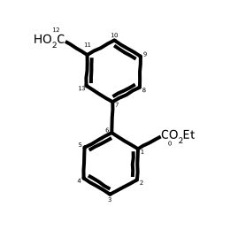 CCOC(=O)c1ccccc1-c1cccc(C(=O)O)c1